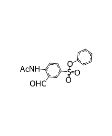 CC(=O)Nc1ccc(S(=O)(=O)Oc2ccccc2)cc1C=O